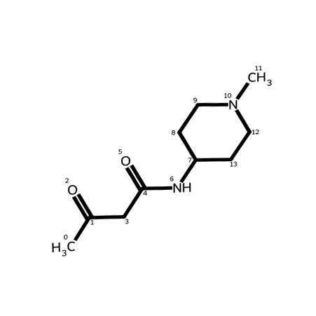 CC(=O)CC(=O)NC1CCN(C)CC1